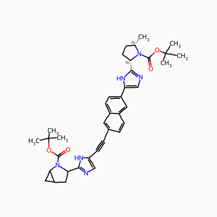 C[C@H]1CC[C@@H](c2ncc(-c3ccc4cc(C#Cc5cnc(C6CC7CC7N6C(=O)OC(C)(C)C)[nH]5)ccc4c3)[nH]2)N1C(=O)OC(C)(C)C